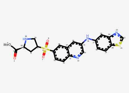 COC(=O)[C@@H]1CC(S(=O)(=O)c2ccc3ncc(Nc4ccc5scnc5c4)cc3c2)CN1